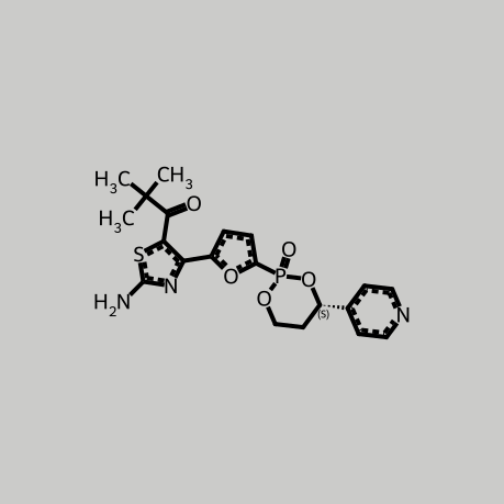 CC(C)(C)C(=O)c1sc(N)nc1-c1ccc(P2(=O)OCC[C@@H](c3ccncc3)O2)o1